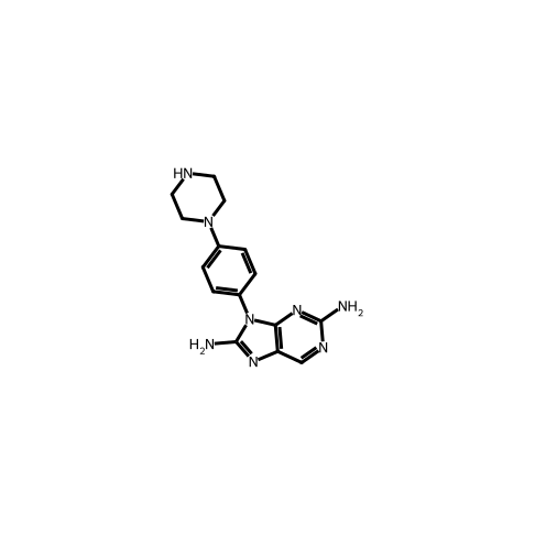 Nc1ncc2nc(N)n(-c3ccc(N4CCNCC4)cc3)c2n1